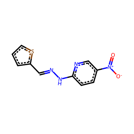 O=[N+]([O-])c1ccc(N/N=C/c2cccs2)nc1